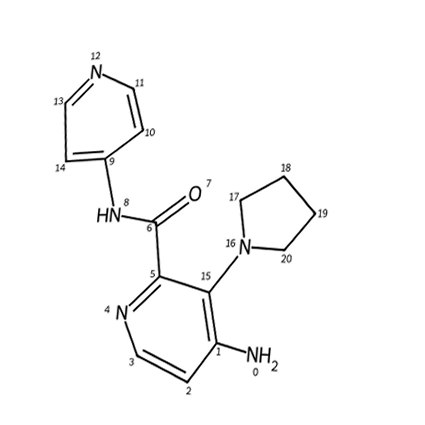 Nc1ccnc(C(=O)Nc2ccncc2)c1N1CCCC1